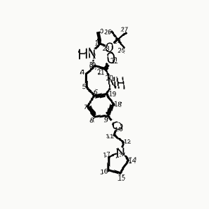 C=C(N[C@H]1CCc2ccc(OCCN3CCCC3)cc2NC1=O)OC(C)(C)C